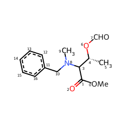 COC(=O)C([C@@H](C)OC=O)N(C)Cc1ccccc1